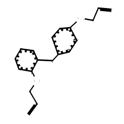 C=CCOc1ccc(Cc2ccccc2OCC=C)cc1